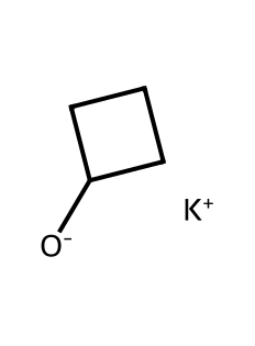 [K+].[O-]C1CCC1